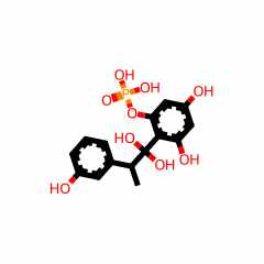 CC(c1cccc(O)c1)C(O)(O)c1c(O)cc(O)cc1OP(=O)(O)O